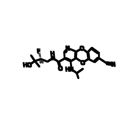 CC(C)Nc1c(C(=O)NC[C@@H](F)C(C)(C)O)cnc2c1Oc1cc(C#N)ccc1O2